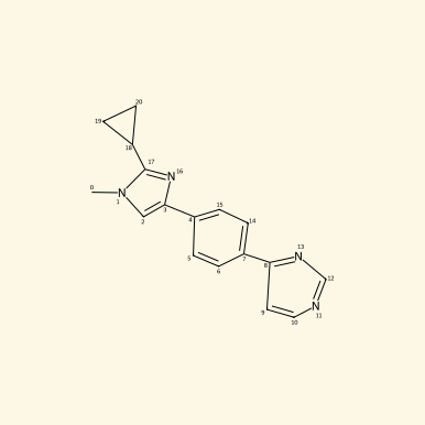 Cn1cc(-c2ccc(-c3ccncn3)cc2)nc1C1CC1